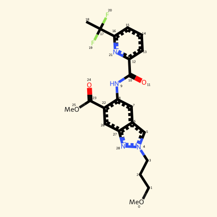 COCCCn1cc2cc(NC(=O)c3cccc(C(C)(F)F)n3)c(C(=O)OC)cc2n1